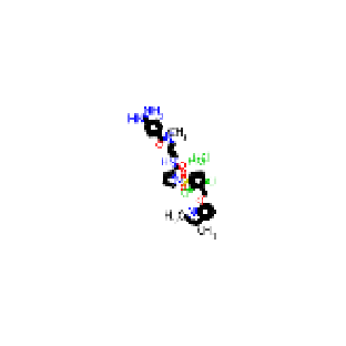 Cc1cc(C)c2cccc(OCc3c(Cl)ccc(S(=O)(=O)N4CCC[C@H]4C(=O)NCCCN(C)C(=O)c4ccc(C(=N)N)cc4)c3Cl)c2n1.Cl.Cl